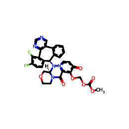 COC(=O)OCOc1c2n(ccc1=O)N([C@@H]1c3ccccc3-c3cncnc3-c3c1ccc(F)c3F)[C@@H]1COCCN1C2=O